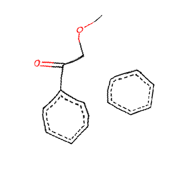 COCC(=O)c1ccccc1.c1ccccc1